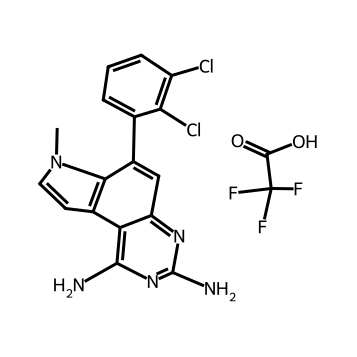 Cn1ccc2c3c(N)nc(N)nc3cc(-c3cccc(Cl)c3Cl)c21.O=C(O)C(F)(F)F